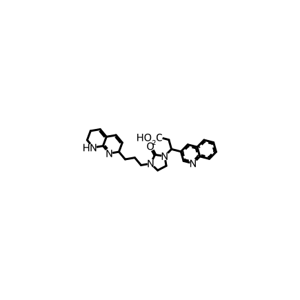 O=C(O)CC(c1cnc2ccccc2c1)N1CCN(CCCC2C=CC3=CCCNC3=N2)C1=O